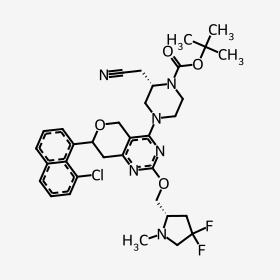 CN1CC(F)(F)C[C@H]1COc1nc2c(c(N3CCN(C(=O)OC(C)(C)C)[C@@H](CC#N)C3)n1)COC(c1cccc3cccc(Cl)c13)C2